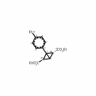 CCOC(=O)[C@@H]1C2[C@@H](C(=O)OCC)C21c1ccc(CC)cc1